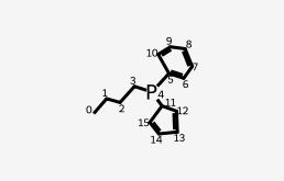 CCCCP(c1ccccc1)C1C=CC=C1